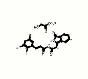 O=C(C=Cc1cc(F)cc(F)c1F)OC(=O)CC1=C2C=CC=CC2C(=O)O1.O=C(O)C(=O)CO